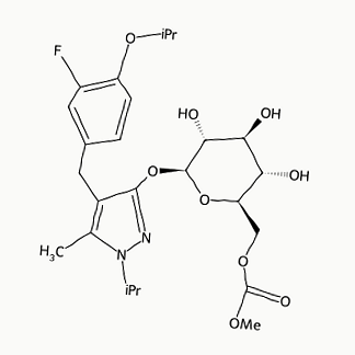 COC(=O)OC[C@H]1O[C@@H](Oc2nn(C(C)C)c(C)c2Cc2ccc(OC(C)C)c(F)c2)[C@H](O)[C@@H](O)[C@@H]1O